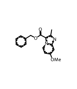 COc1ccn2c(C(=O)OCc3ccccc3)c(C)nc2c1